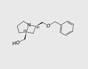 OC[C@@]12CCCN1[C@@H](COCc1ccccc1)C2